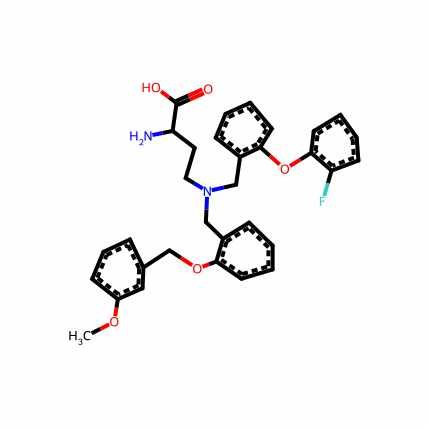 COc1cccc(COc2ccccc2CN(CCC(N)C(=O)O)Cc2ccccc2Oc2ccccc2F)c1